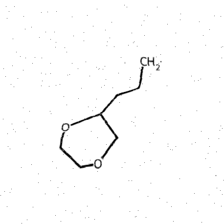 [CH2]CCC1COCCO1